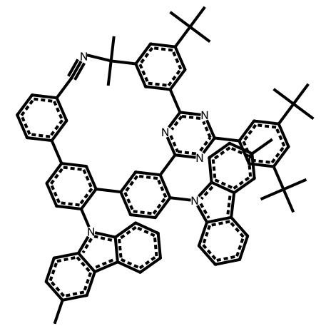 Cc1ccc2c(c1)c1ccccc1n2-c1ccc(-c2cccc(C#N)c2)cc1-c1ccc(-n2c3ccccc3c3cc(C)ccc32)c(-c2nc(-c3cc(C(C)(C)C)cc(C(C)(C)C)c3)nc(-c3cc(C(C)(C)C)cc(C(C)(C)C)c3)n2)c1